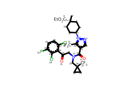 CCOC(=O)[C@]1(C)CC[C@@H](n2ncc(C(=O)N(CC(=O)c3c(Cl)ccc(F)c3Cl)CC3(C(F)(F)F)CC3)c2C(F)(F)F)CC1